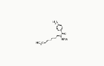 CCCCCCCCCCN(CCCCCCC(=O)O)C(=O)c1ccc(N)cc1